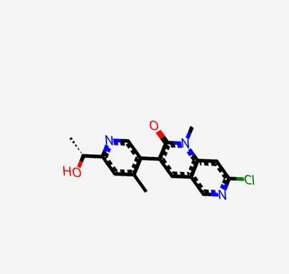 Cc1cc([C@@H](C)O)ncc1-c1cc2cnc(Cl)cc2n(C)c1=O